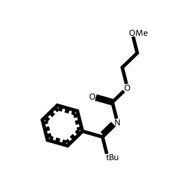 COCCOC(=O)/N=C(\c1ccccc1)C(C)(C)C